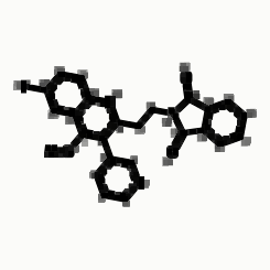 COc1c(-c2cccnc2)c(CCN2C(=O)c3ccccc3C2=O)nc2ccc(F)cc12